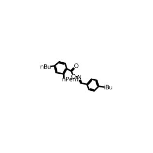 CCCCCc1cc(CCCC)ccc1C(=O)ON=Cc1ccc(C(C)CC)cc1